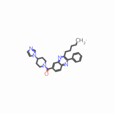 [CH2]CCC[CH]c1nc2cc(C(=O)N3CCC(n4ccnc4)CC3)ccc2nc1-c1ccccc1